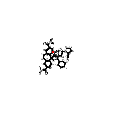 CN(C)C(=O)c1ccc2c(c1)CCc1cc(C(=O)N(C)C)ccc1C2(C[C@@H](NCC(=O)N1CCCC1C#N)C1CCCCC1)c1nnn[nH]1